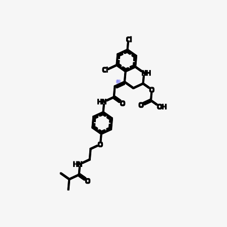 CC(C)C(=O)NCCOc1ccc(NC(=O)/C=C2\CC(OC(=O)O)Nc3cc(Cl)cc(Cl)c32)cc1